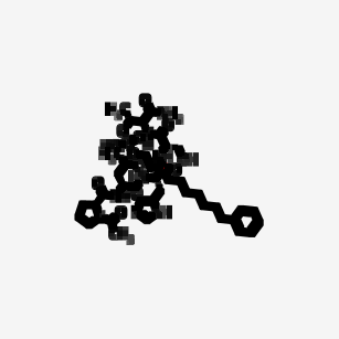 CC(=O)N1CCC[C@H]1C(=O)N[C@@H](CC(C)C)C(=O)N[C@@H](Cc1cnc[nH]1)C(=O)N[C@@H](CO)C(=O)N[C@H](C(N)=O)[C@@H](C)OP(=O)(O)OCCCCCCCCCCc1ccccc1